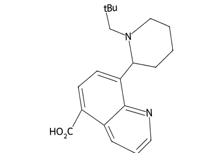 CC(C)(C)CN1CCCCC1c1ccc(C(=O)O)c2cccnc12